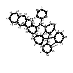 c1ccc(N(c2cccc3c2-c2ccccc2C32c3ccccc3-c3ccccc32)c2cccc3c2oc2cc4ccccc4cc23)cc1